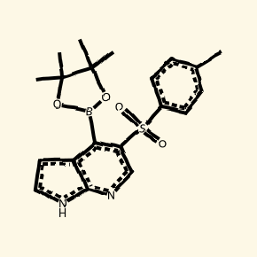 Cc1ccc(S(=O)(=O)c2cnc3[nH]ccc3c2B2OC(C)(C)C(C)(C)O2)cc1